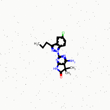 CCCc1nn(-c2nc(N)c3c(n2)NC(=O)C3(C)C)c2ccc(Cl)cc12